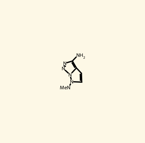 CNn1ccc2c(N)nnn21